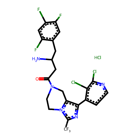 Cl.NC(CC(=O)N1CCn2c(C(F)(F)F)nc(-c3ccnc(Cl)c3Cl)c2C1)Cc1cc(F)c(F)cc1F